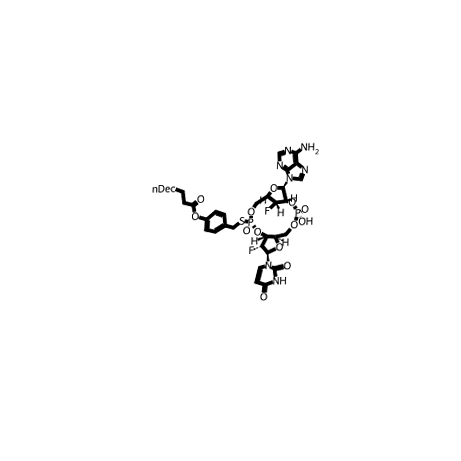 CCCCCCCCCCCCC(=O)Oc1ccc(CSP2(=O)OC[C@H]3O[C@@H](n4cnc5c(N)ncnc54)[C@H](OP(=O)(O)OC[C@H]4O[C@@H](n5ccc(=O)[nH]c5=O)[C@H](F)[C@@H]4O2)[C@@H]3F)cc1